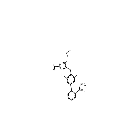 CCOc1oc(C(=O)O)nc1Cc1c(F)cc(-c2ccccc2-c2nnn[nH]2)cc1F